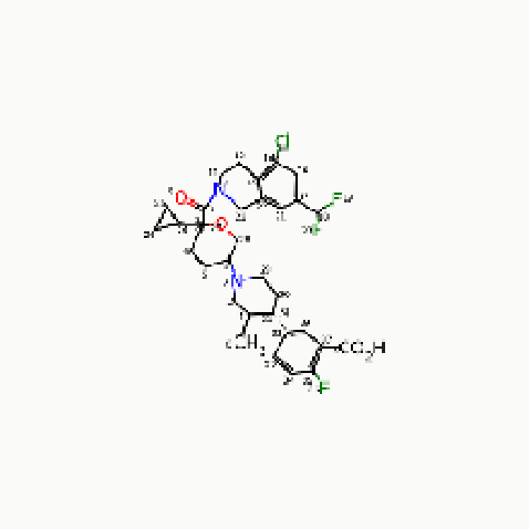 CC1CN(C2CC[C@@](C(=O)N3CCc4c(Cl)cc(C(F)F)cc4C3)(C3CC3)OC2)CC[C@@H]1c1ccc(F)c(C(=O)O)c1